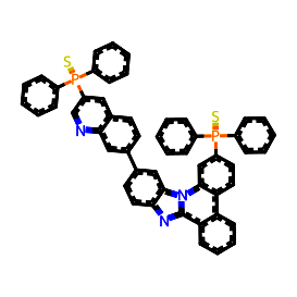 S=P(c1ccccc1)(c1ccccc1)c1cnc2cc(-c3ccc4nc5c6ccccc6c6ccc(P(=S)(c7ccccc7)c7ccccc7)cc6n5c4c3)ccc2c1